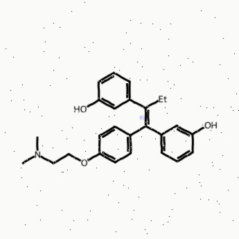 CC/C(=C(/c1ccc(OCCN(C)C)cc1)c1cccc(O)c1)c1cccc(O)c1